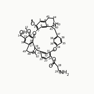 COc1cc2c3cc1Oc1c(OC)c(CO)cc4c1C(Cc1ccc(OC(=O)CCN)c(c1)Oc1ccc(cc1)CC3N(C)CC2)N(C)CC4